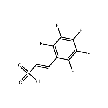 O=S(=O)(Cl)/C=C/c1c(F)c(F)c(F)c(F)c1F